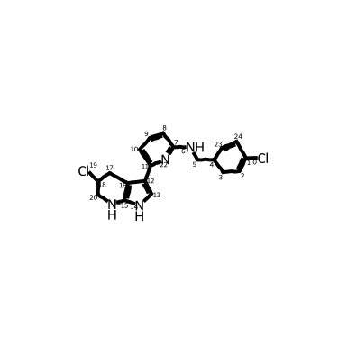 ClC1=CCC(CNc2cccc(-c3c[nH]c4c3CC(Cl)CN4)n2)C=C1